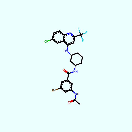 CC(=O)Nc1cc(Br)cc(C(=O)N[C@@H]2CCC[C@H](Nc3cc(C(F)(F)F)nc4ccc(Cl)cc34)C2)c1